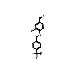 O=Cc1ccc(OCc2ccc(C(F)(F)F)cc2)c(Br)c1